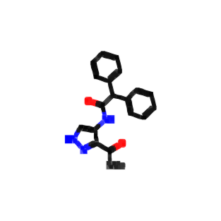 CNC(=O)c1n[nH]cc1NC(=O)C(c1ccccc1)c1ccccc1